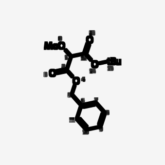 COC(C(=O)OCc1ccccc1)C(=O)OC(C)(C)C